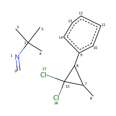 C=NC(C)(C)C.CC1C(c2ccccc2)C1(Cl)Cl